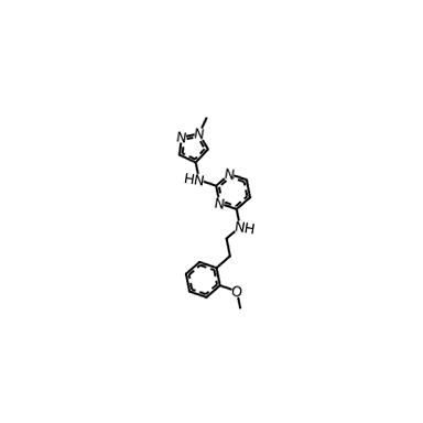 COc1ccccc1CCNc1ccnc(Nc2cnn(C)c2)n1